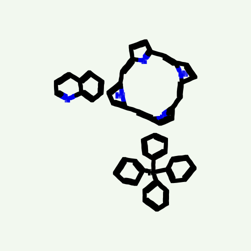 C1=Cc2cc3ccc(cc4nc(cc5ccc(cc1n2)[nH]5)C=C4)[nH]3.c1cc[c]([Fe]([c]2ccccc2)([c]2ccccc2)[c]2ccccc2)cc1.c1ccc2ncccc2c1